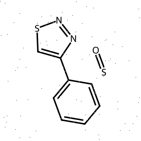 O=S.c1ccc(-c2csnn2)cc1